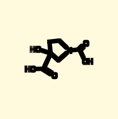 O=C(O)N1CCC(O)(C(=O)O)C1